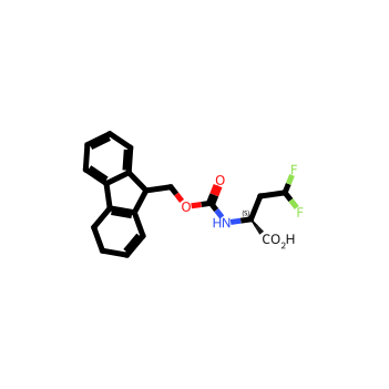 O=C(N[C@@H](CC(F)F)C(=O)O)OCC1C2=C(CCC=C2)c2ccccc21